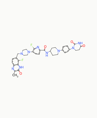 Cc1nc2ccc(CN3CCN(c4ccc(C(=O)NC5CCN(c6ccc(N7CCC(=O)NC7=O)cc6)CC5)nc4F)CC3)c(F)c2[nH]c1=O